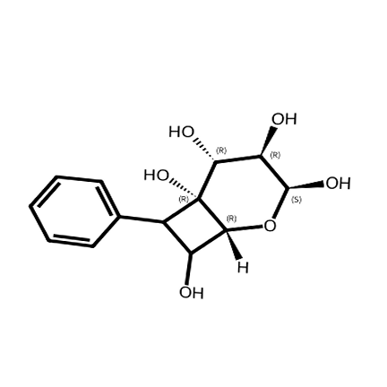 OC1C(c2ccccc2)[C@]2(O)[C@@H]1O[C@H](O)[C@H](O)[C@H]2O